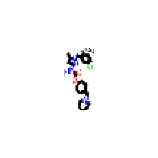 Cc1cc(NC(=O)OC2CCC(CN3CCCCC3)CC2)nn1Cc1cc(Cl)ccc1OCC(C)C